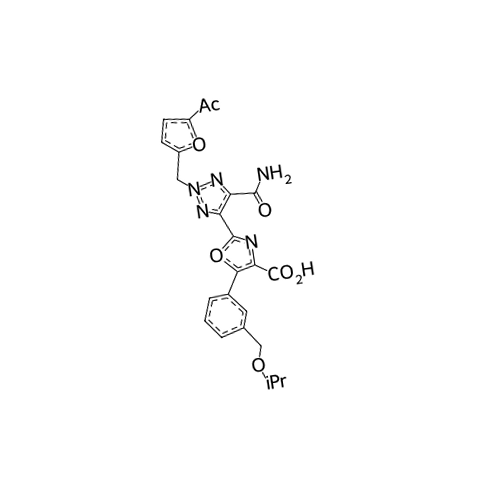 CC(=O)c1ccc(Cn2nc(C(N)=O)c(-c3nc(C(=O)O)c(-c4cccc(COC(C)C)c4)o3)n2)o1